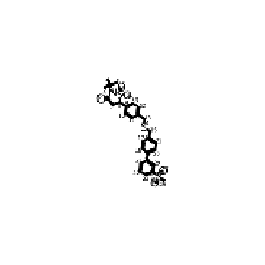 CC(C)(C)N1C(=O)CC(c2ccc(CSCc3ccc(-c4cccc(S(C)(=O)=O)c4)cc3)cc2)S1(=O)=O